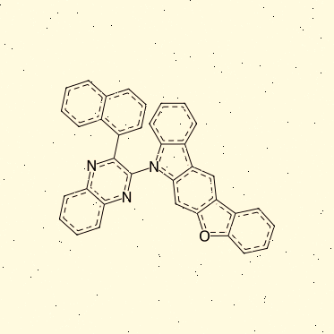 c1ccc2c(-c3nc4ccccc4nc3-n3c4ccccc4c4cc5c(cc43)oc3ccccc35)cccc2c1